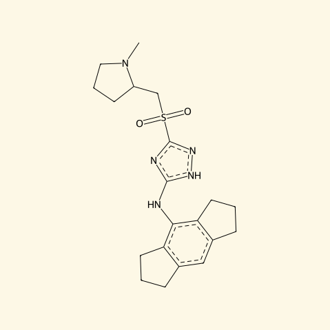 CN1CCCC1CS(=O)(=O)c1n[nH]c(Nc2c3c(cc4c2CCC4)CCC3)n1